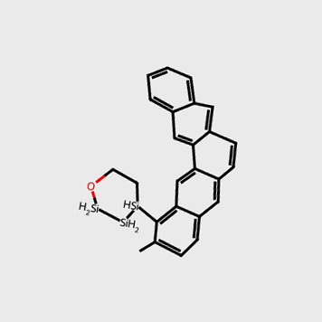 Cc1ccc2cc3ccc4cc5ccccc5cc4c3cc2c1[SiH]1CCO[SiH2][SiH2]1